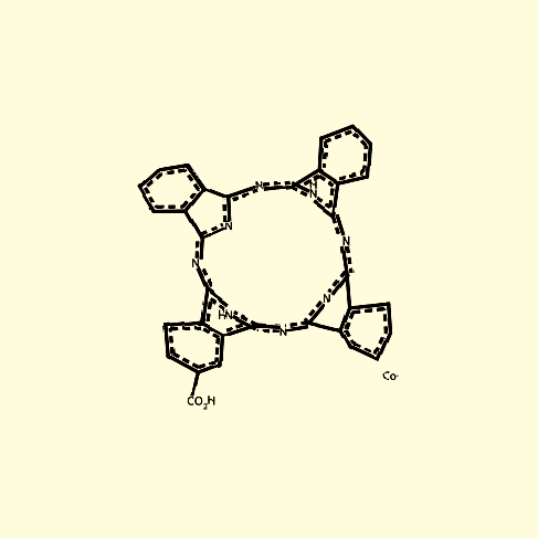 O=C(O)c1ccc2c3nc4nc(nc5[nH]c(nc6nc(nc([nH]3)c2c1)-c1ccccc1-6)c1ccccc51)-c1ccccc1-4.[Co]